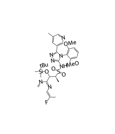 C=N/C(=N\C=C(/C)F)C(O[Si](C)(C)C(C)(C)C)[C@H](C)S(=O)(=O)Nc1nnc(-c2cncc(C)c2)n1-c1c(OC)cccc1OC